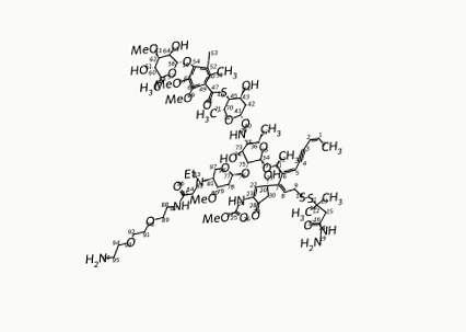 C/C=C\C#C/C=C(/C(=C\CSSC(C)(C)CC(=O)NN)[C@]1(O)C=C(NC(=O)OC)C(=O)C1)[C@H](C)O[C@@H]1O[C@H](C)[C@@H](NO[C@H]2C[C@H](O)[C@H](SC(=O)c3c(C)c(I)c(O[C@@H]4O[C@@H](C)[C@H](O)[C@@H](OC)[C@H]4O)c(OC)c3OC)[C@@H](C)O2)[C@H](O)[C@H]1O[C@H]1C[C@H](OC)[C@@H](N(CC)CC(=O)NCCOCCOCCN)CO1